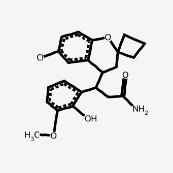 COc1cccc(C(CC(N)=O)C2CC3(CCC3)Oc3ccc(Cl)cc32)c1O